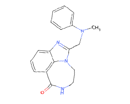 CN(Cc1nc2cccc3c2n1CCNC3=O)c1ccccc1